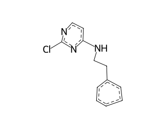 Clc1nccc(NCCc2ccccc2)n1